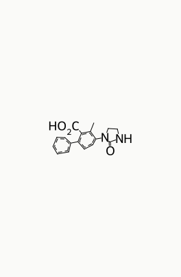 Cc1c(N2CCNC2=O)ccc(-c2ccccc2)c1C(=O)O